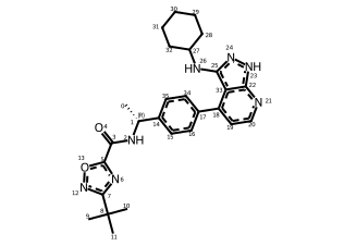 C[C@@H](NC(=O)c1nc(C(C)(C)C)no1)c1ccc(-c2ccnc3[nH]nc(NC4CCCCC4)c23)cc1